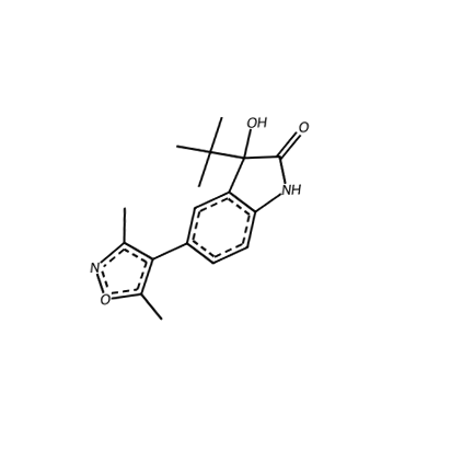 Cc1noc(C)c1-c1ccc2c(c1)C(O)(C(C)(C)C)C(=O)N2